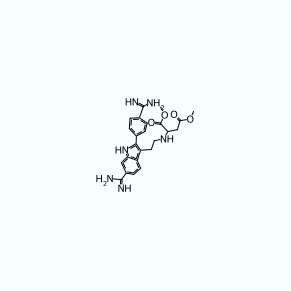 COC(=O)CC(NCCc1c(-c2ccc(C(=N)N)cc2)[nH]c2cc(C(=N)N)ccc12)C(=O)OC